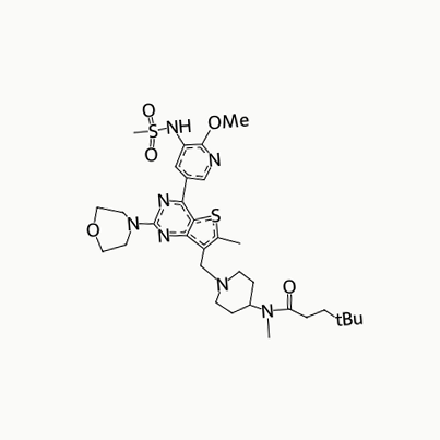 COc1ncc(-c2nc(N3CCOCC3)nc3c(CN4CCC(N(C)C(=O)CCC(C)(C)C)CC4)c(C)sc23)cc1NS(C)(=O)=O